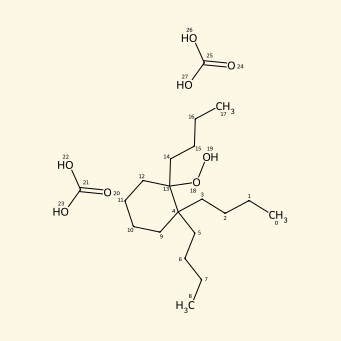 CCCCC1(CCCC)CCCCC1(CCCC)OO.O=C(O)O.O=C(O)O